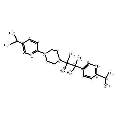 CC(C)c1ccc(N2CCN(C(C)(C)C(C)(C)c3ccc(C(C)C)nc3)CC2)nc1